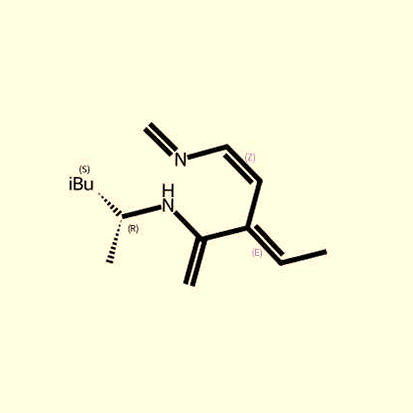 C=N/C=C\C(=C/C)C(=C)N[C@H](C)[C@@H](C)CC